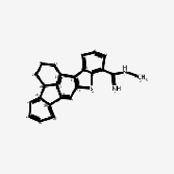 CNC(=N)c1cccc2c1sc1cc3c4c(c12)CCCC4c1ccccc1-3